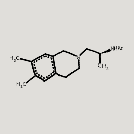 CC(=O)N[C@@H](C)CN1CCc2cc(C)c(C)cc2C1